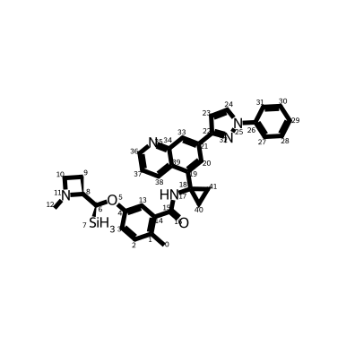 Cc1ccc(O[C@@H]([SiH3])[C@@H]2CCN2C)cc1C(=O)NC1(c2cc(-c3ccn(-c4ccccc4)n3)cc3ncccc23)CC1